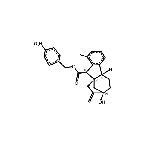 C=C1C[C@]23C[C@]1(O)CC[C@H]2c1cccc(C)c1[C@@H]3C(=O)OCc1ccc([N+](=O)[O-])cc1